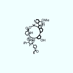 C=CC(=O)N1CC[C@H](C(=O)N(C)[C@H](C(=O)N[C@H]2Cc3cc(O)cc(c3)-c3ccc4c(c3)c(c(-c3cnccc3[C@H](CC)OC)n4CC)CC(C)(C)COC(=O)[C@@H]3CCCN(N3)C2=O)C(C)C)C1